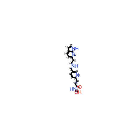 O=C(/C=C/c1ccc(CNCCc2ccc3cc[nH]c3n2)cn1)NO